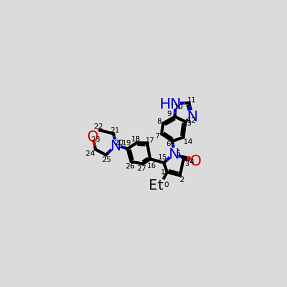 CCC1=CC(=O)N(c2ccc3[nH]cnc3c2)C1c1ccc(N2CCOCC2)cc1